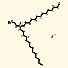 CCCCCCCCCCCCCC[N+](C)(CCBr)CCCCCCCCCCCCCC.[Br-]